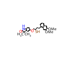 COc1cc2cccc(CCC(S)COc3ccc4c(c3)C(C)(C)C(=O)N4)c2cc1OC